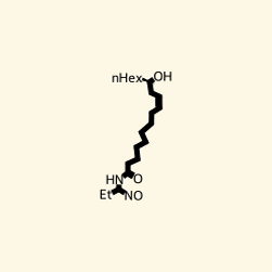 CCCCCC[C@@H](O)C/C=C\CCCCCCCC(=O)NC(CC)N=O